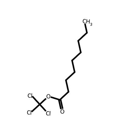 CCCCCCCCC(=O)OC(Cl)(Cl)Cl